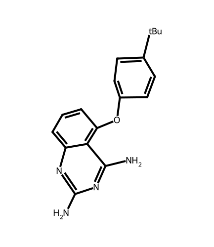 CC(C)(C)c1ccc(Oc2cccc3nc(N)nc(N)c23)cc1